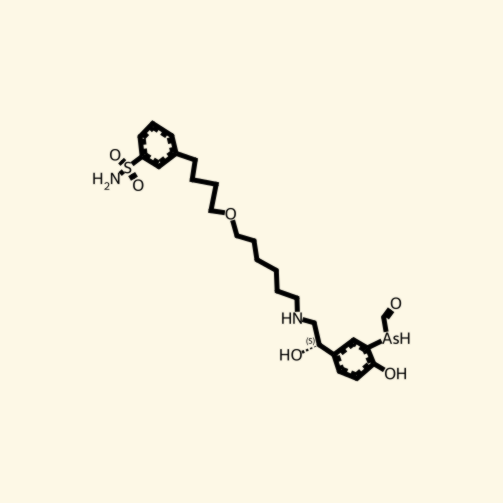 NS(=O)(=O)c1cccc(CCCCOCCCCCCNC[C@@H](O)c2ccc(O)c([AsH]C=O)c2)c1